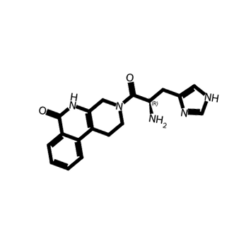 N[C@H](Cc1c[nH]cn1)C(=O)N1CCc2c([nH]c(=O)c3ccccc23)C1